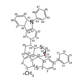 CC1CC=CC2C1SC1C=CC(C3=CC=CCC3)=CC1C21C2=CCCCC2SC2C(C3C=CC4=C(C3)C3C=CC=CC3N4c3ccccc3)CC=CC21